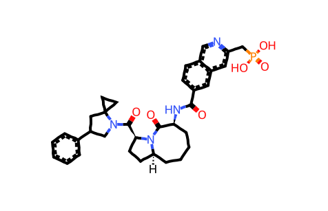 O=C(N[C@H]1CCCC[C@H]2CC[C@@H](C(=O)N3CC(c4ccccc4)CC34CC4)N2C1=O)c1ccc2cnc(CP(=O)(O)O)cc2c1